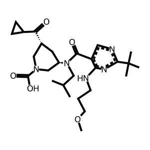 COCCCNc1nc(C(C)(C)C)ncc1C(=O)N(CC(C)C)[C@H]1C[C@@H](C(=O)C2CC2)CN(C(=O)O)C1